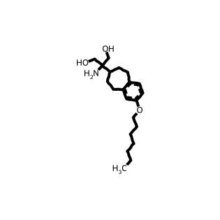 CCCCCCCOc1ccc2c(c1)CCC(C(N)(CO)CO)CC2